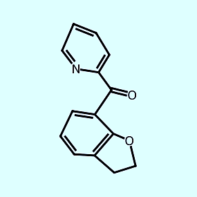 O=C(c1ccccn1)c1cccc2c1OCC2